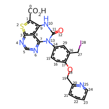 O=C(O)c1sc2ncnc3c2c1NC(=O)N3c1ccc(OCc2ccccn2)c(CI)c1